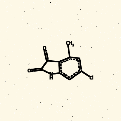 Cc1cc(Cl)cc2c1C(=O)C(=O)N2